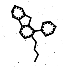 CCCCc1ccc2c(c1-c1ccccc1)Cc1ccccc1-2